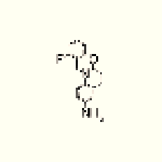 Nc1ccc2c(c1)CCC(=O)N2Cc1ccccc1F